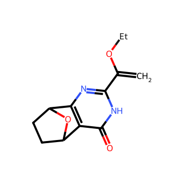 C=C(OCC)c1nc2c(c(=O)[nH]1)C1CCC2O1